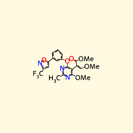 CO/C=C(\C(=O)OC)c1c(OC)nc(C)nc1Oc1cccc(-c2cc(C(F)(F)F)no2)c1